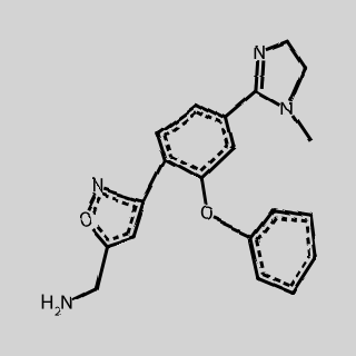 CN1CCN=C1c1ccc(-c2cc(CN)on2)c(Oc2ccccc2)c1